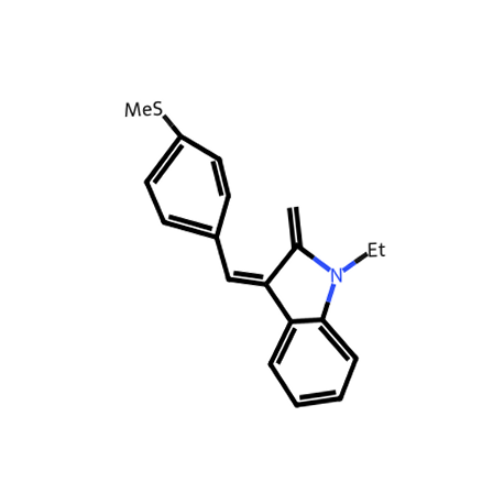 C=c1/c(=C\c2ccc(SC)cc2)c2ccccc2n1CC